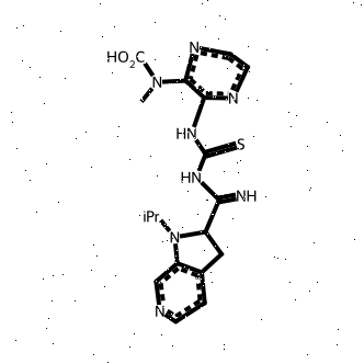 CC(C)N1c2cnccc2CC1C(=N)NC(=S)Nc1nccnc1N(C)C(=O)O